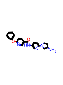 NC1CCN(c2ccc(NC(=O)c3ccc(Oc4ccccc4)nc3)cn2)C1